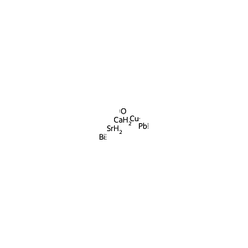 [Bi].[CaH2].[Cu].[O].[Pb].[SrH2]